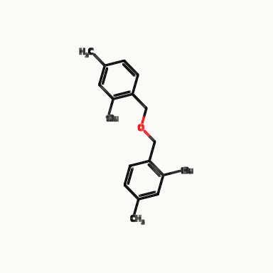 Cc1ccc(COCc2ccc(C)cc2C(C)(C)C)c(C(C)(C)C)c1